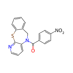 O=C(c1ccc([N+](=O)[O-])cc1)N1Cc2ccccc2Sc2ncccc21